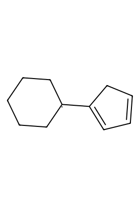 C1=CCC([C]2CCCCC2)=C1